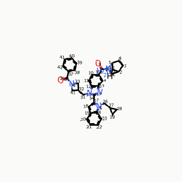 N[C@H]1C2CCC1N(C(=O)c1ccc3c(c1)nc(-c1cc4ccccc4n1CC1CC1)n3CC1CN(C(=O)c3ccccc3)C1)C2